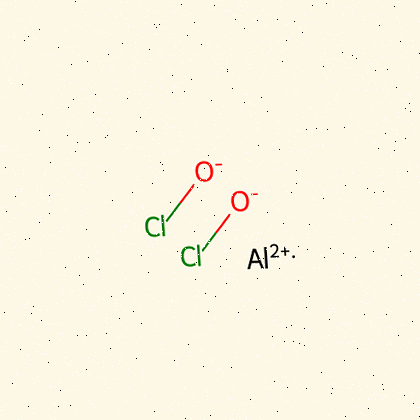 [Al+2].[O-]Cl.[O-]Cl